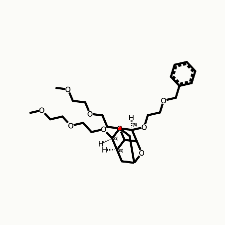 COCCOCCOC1C2OC3CC([C@H]2OCCOCc2ccccc2)[C@H](OCCOCCOC)[C@@H]1C3